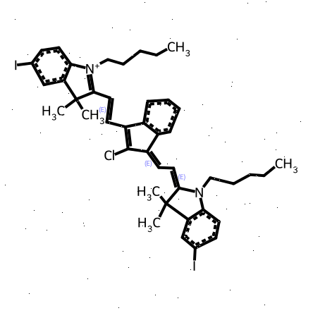 CCCCCN1/C(=C/C=C2C(Cl)=C(/C=C/C3=[N+](CCCCC)c4ccc(I)cc4C3(C)C)c3ccccc3/2)C(C)(C)c2cc(I)ccc21